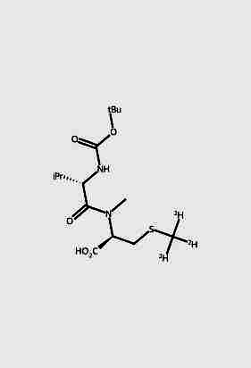 [2H]C([2H])([2H])SC[C@@H](C(=O)O)N(C)C(=O)[C@@H](NC(=O)OC(C)(C)C)C(C)C